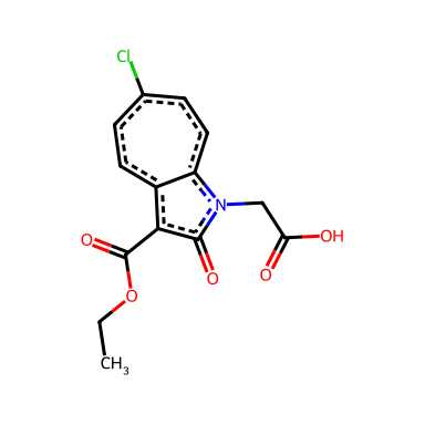 CCOC(=O)c1c2ccc(Cl)ccc-2n(CC(=O)O)c1=O